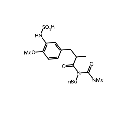 CCCCN(C(=O)NC)C(=O)C(C)Cc1ccc(OC)c(NS(=O)(=O)O)c1